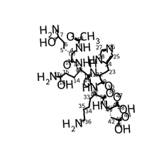 CC(=O)N[C@@H](CCC(N)O)C(=O)N[C@H](CCC(N)O)C(=O)NC(Cc1cnc[nH]1)C(=O)N[C@H](CCCCN)C(=O)N[C@@H](CC(=O)O)C(=O)O